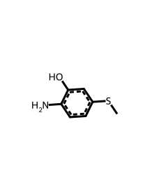 CSc1ccc(N)c(O)c1